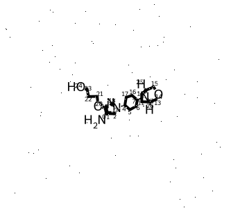 Nc1cn([C@H]2CC[C@H](N3[C@@H]4CC[C@H]3COC4)CC2)nc1OCCCO